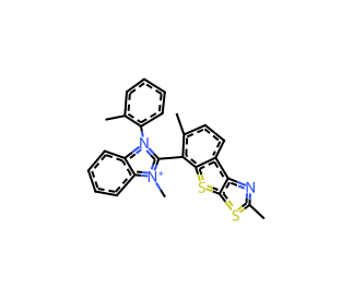 Cc1nc2c(s1)sc1c(-c3n(-c4ccccc4C)c4ccccc4[n+]3C)c(C)ccc12